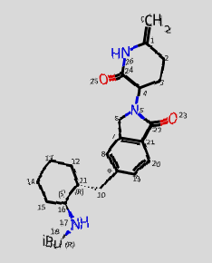 C=C1CCC(N2Cc3cc(C[C@H]4CCCC[C@@H]4N[C@H](C)CC)ccc3C2=O)C(=O)N1